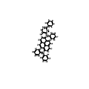 Cc1cnc(-c2ccccc2)nc1N(c1ccccc1)c1ccc2ccc3c(N(c4ccccc4)c4ccccc4)ccc4ccc1c2c43